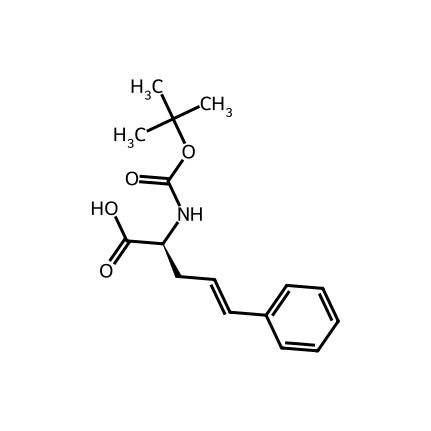 CC(C)(C)OC(=O)N[C@@H](C/C=C/c1ccccc1)C(=O)O